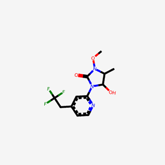 CON1C(=O)N(c2cc(CC(F)(F)F)ccn2)C(O)C1C